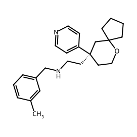 Cc1cccc(CNCC[C@@]2(c3ccncc3)CCOC3(CCCC3)C2)c1